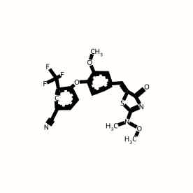 COc1cc(/C=C2\SC(N(C)OC)=NC2=O)ccc1Oc1ccc(C#N)cc1C(F)(F)F